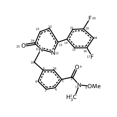 CON(C)C(=O)c1cccc(Cn2nc(-c3cc(F)cc(F)c3)ccc2=O)c1